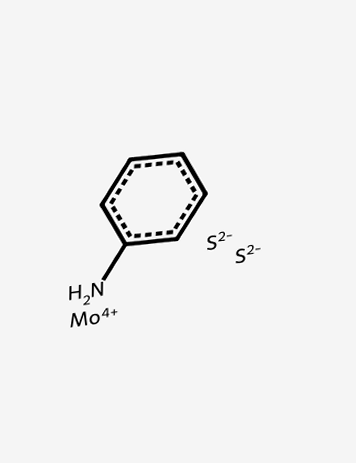 Nc1ccccc1.[Mo+4].[S-2].[S-2]